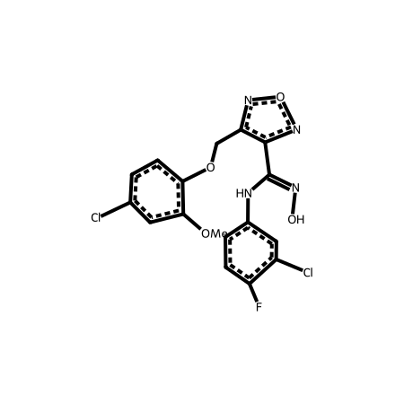 COc1cc(Cl)ccc1OCc1nonc1C(=NO)Nc1ccc(F)c(Cl)c1